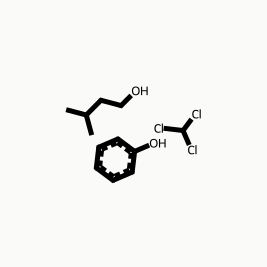 CC(C)CCO.ClC(Cl)Cl.Oc1ccccc1